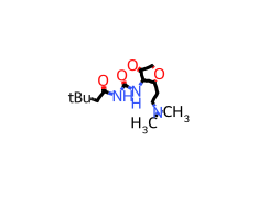 CN(C)CCC1OCC(=O)C1NC(=O)NC(=O)CC(C)(C)C